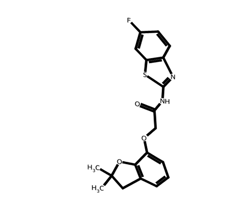 CC1(C)Cc2cccc(OCC(=O)Nc3nc4ccc(F)cc4s3)c2O1